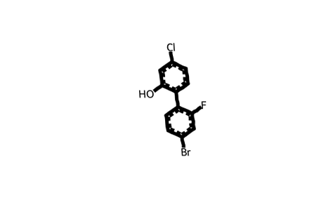 Oc1cc(Cl)ccc1-c1ccc(Br)cc1F